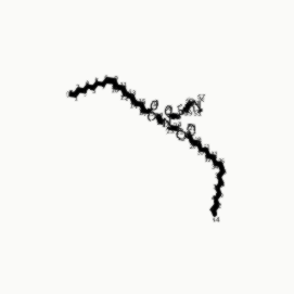 CCCCCCCC/C=C\CCCCCCCC(=O)OCCN(CCOC(=O)CCCCCCC/C=C\CCCCCCCC)C(=O)CSCCN(C)C